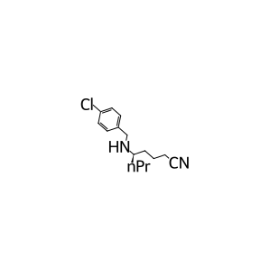 CCC[C@H](CCCC#N)NCc1ccc(Cl)cc1